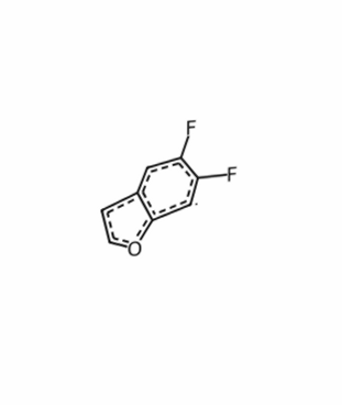 Fc1[c]c2occc2cc1F